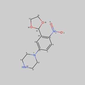 O=[N+]([O-])c1ccc(N2CCNCC2)cc1C1OCCO1